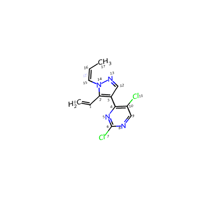 C=Cc1c(-c2nc(Cl)ncc2Cl)cnn1/C=C\C